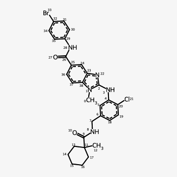 Cn1c(Nc2cc(CNC(=O)C3(C)CCCCC3)ccc2Cl)nc2cc(C(=O)Nc3ccc(Br)cc3)ccc21